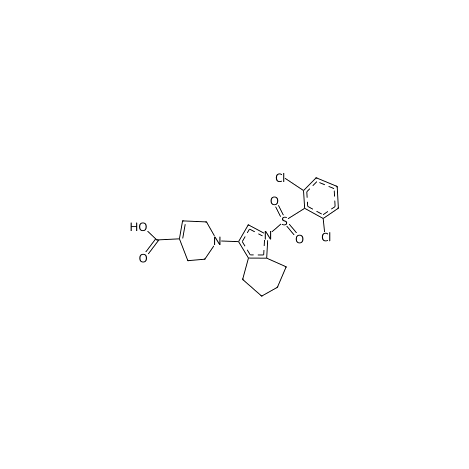 O=C(O)C1=CCN(c2cn(S(=O)(=O)c3c(Cl)cccc3Cl)c3c2CCCC3)CC1